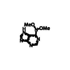 CON(OC)c1ncnc2nc[nH]c12